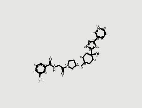 O=C(NCC(=O)N1CC[C@H](CC2CCC(O)(c3ncc(-c4cccnc4)s3)CC2)C1)c1cccc(C(F)(F)F)c1